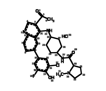 CC(=O)c1cnc2ccc(-c3cc(F)c(O)c(Cl)c3)cc2c1NC1CCC(NC(=O)C2CCCN2C)CC1.Cl